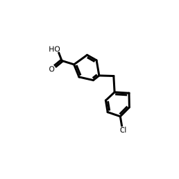 O=C(O)c1ccc(Cc2ccc(Cl)cc2)cc1